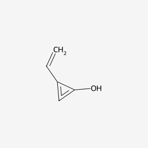 C=CC1=C=C1O